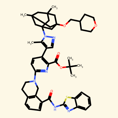 Cc1c(-c2ccc(N3CCc4cccc(C(=O)Nc5nc6ccccc6s5)c4C3)nc2C(=O)OC(C)(C)C)cnn1C12CC3(C)CC(C)(CC(OCC4CCOCC4)(C3)C1)C2